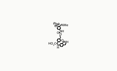 CNCc1cc(NC(=O)OCCc2ccc(C(Nc3ccc4cc[nH]c(=O)c4c3)C(=O)O)cc2)ccc1S(=O)(=O)C(C)C